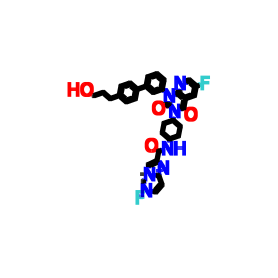 O=C(NC1CCC(n2c(=O)c3cc(F)cnc3n(-c3cccc(-c4ccc(CCCO)cc4)c3)c2=O)CC1)C1=C[N+]2CN(F)C=CC2=N1